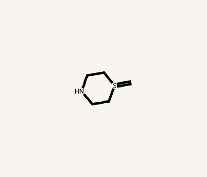 C=S1CCNCC1